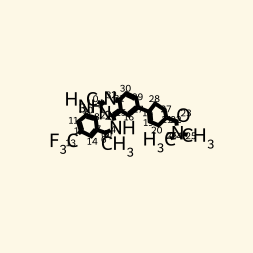 Cc1nc(N[C@H](C)c2cc(N)cc(C(F)(F)F)c2)c2cc(C3=CCC(C(=O)N(C)C)CC3)ccc2n1